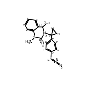 [2H]C1c2ccccc2N(C)C([2H])N1C1(c2ccc(N=[N+]=[N-])cc2)CC1